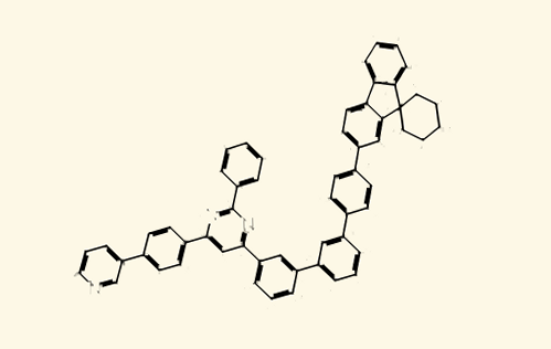 c1ccc(-c2nc(-c3ccc(-c4cccnc4)cc3)cc(-c3cccc(-c4cccc(-c5ccc(-c6ccc7c(c6)C6(CCCCC6)c6ccccc6-7)cc5)c4)c3)n2)cc1